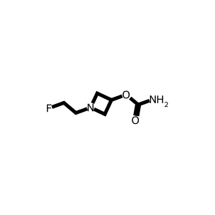 NC(=O)OC1CN(CCF)C1